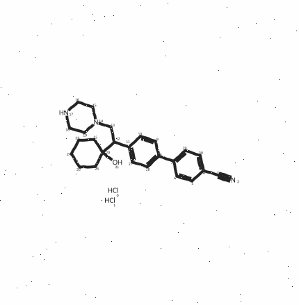 Cl.Cl.N#Cc1ccc(-c2ccc(C(CN3CCNCC3)C3(O)CCCCC3)cc2)cc1